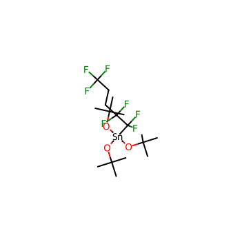 CC(C)(C)[O][Sn]([O]C(C)(C)C)([O]C(C)(C)C)[C](F)(F)C(F)(F)CCC(F)(F)F